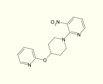 O=[N+]([O-])c1cccnc1N1CCC(Oc2ccccn2)CC1